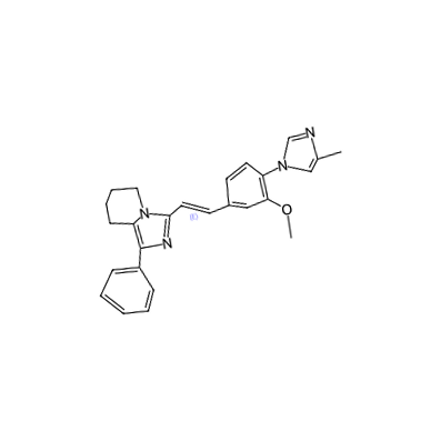 COc1cc(/C=C/c2nc(-c3ccccc3)c3n2CCCC3)ccc1-n1cnc(C)c1